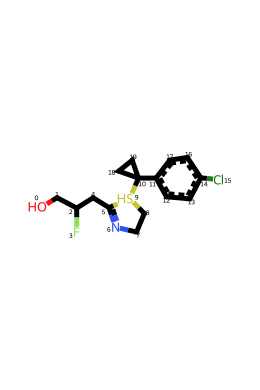 OCC(F)CC1=NCC[SH]1C1(c2ccc(Cl)cc2)CC1